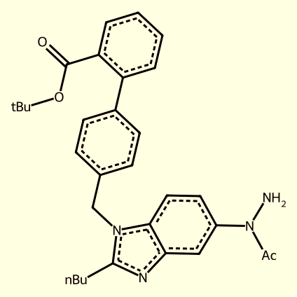 CCCCc1nc2cc(N(N)C(C)=O)ccc2n1Cc1ccc(-c2ccccc2C(=O)OC(C)(C)C)cc1